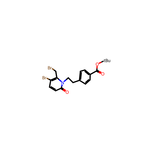 CC(C)(C)OC(=O)c1ccc(CCn2c(CBr)c(Br)ccc2=O)cc1